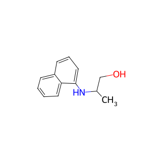 CC(CO)Nc1cccc2ccccc12